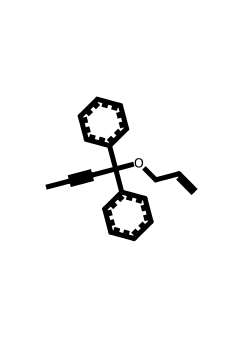 C=CCOC(C#CC)(c1ccccc1)c1ccccc1